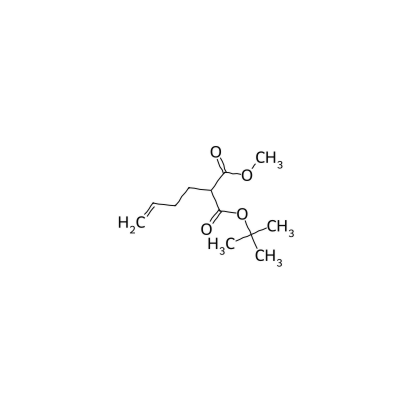 C=CCCC(C(=O)OC)C(=O)OC(C)(C)C